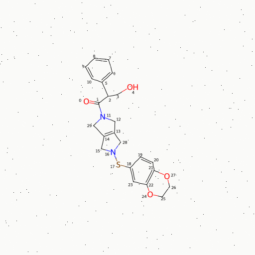 O=C(C(CO)c1ccccc1)N1CC2=C(CN(Sc3ccc4c(c3)OCCO4)C2)C1